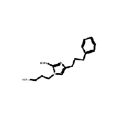 CCCCCCCCCCCCCn1cc(CCCc2ccccc2)nc1CCCCCC